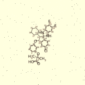 CC(C)(Oc1cccc(OCC(C2CCCCC2)C2(c3ccc(Cl)cc3)Nc3cc(F)c(F)cc3N2)c1)C(=O)O